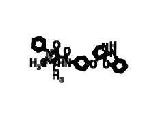 Cc1c(C(=O)Nc2ccc(Oc3ccnc4c3Oc3ccccc3N4)cc2)c(=O)n(-c2ccccc2)n1C